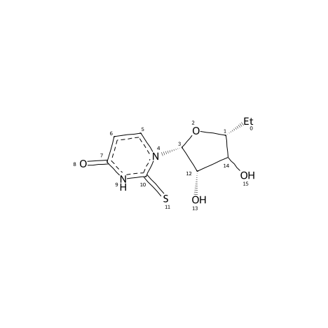 CC[C@H]1O[C@@H](n2ccc(=O)[nH]c2=S)[C@@H](O)C1O